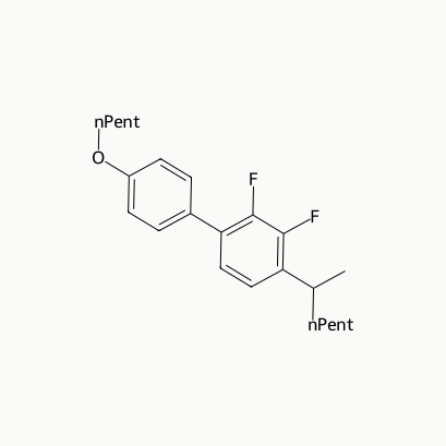 CC[CH]CCC(C)c1ccc(-c2ccc(OCCCCC)cc2)c(F)c1F